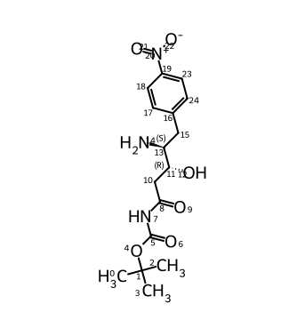 CC(C)(C)OC(=O)NC(=O)C[C@@H](O)[C@@H](N)Cc1ccc([N+](=O)[O-])cc1